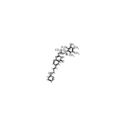 Cc1c(C)c(C)c(S(=O)(=O)N[C@@H](Cc2nc3ccc(/C=C/CNc4ccccn4)cc3c(=O)[nH]2)C(=O)O)c(C)c1C